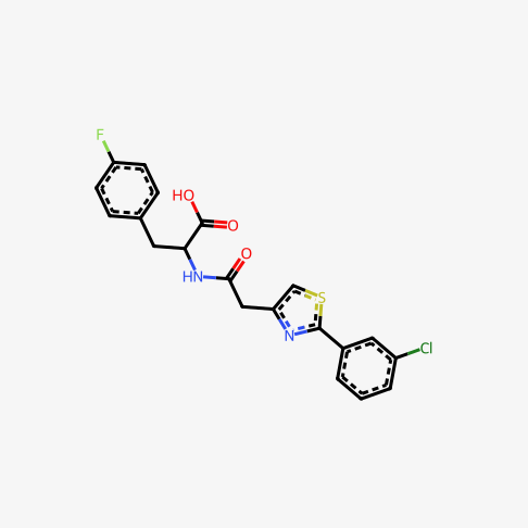 O=C(Cc1csc(-c2cccc(Cl)c2)n1)NC(Cc1ccc(F)cc1)C(=O)O